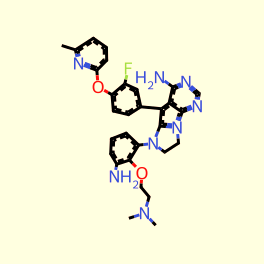 Cc1cccc(Oc2ccc(-c3c4n(c5ncnc(N)c35)CCN4c3cccc(N)c3OCCN(C)C)cc2F)n1